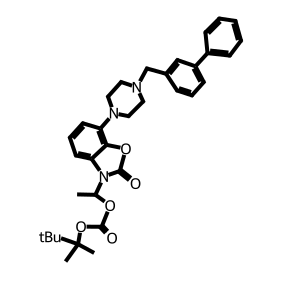 CC(OC(=O)OC(C)(C)C(C)(C)C)n1c(=O)oc2c(N3CCN(Cc4cccc(-c5ccccc5)c4)CC3)cccc21